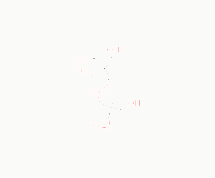 OCC(CO)(CO)COCC(CO)(CO)C1OO1